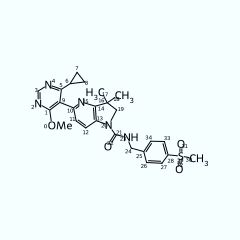 COc1ncnc(C2CC2)c1-c1ccc2c(n1)C(C)(C)CN2C(=O)NCc1ccc(S(C)(=O)=O)cc1